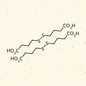 O=C(O)CCCSSCCCC(=O)O.O=C(O)CCCSSCCCC(=O)O